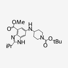 COC(=O)c1cc(NC2CCN(C(=O)OC(C)(C)C)CC2)cc2[nH]c(C(C)C)nc12